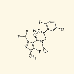 C=C(CN(C(=O)c1c(C(F)F)nn(C)c1F)C1CC1)c1cc(Cl)ccc1F